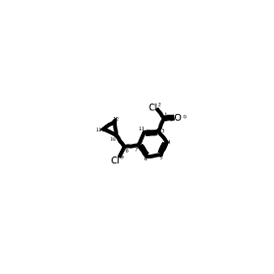 O=C(Cl)c1cccc(C(Cl)C2CC2)c1